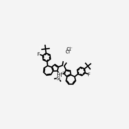 CCC1=CC2=C(C=CC=CC2c2ccc(C(C)(C)C)c(F)c2)[CH]1[Hf+2]([CH]1C(CC)=CC2=C1C=CC=CC2c1ccc(C(C)(C)C)c(F)c1)=[Si](C)C.[Cl-].[Cl-]